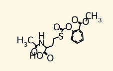 COC(=O)c1ccccc1OC(=O)SCCC(NC(C)=O)C(=O)O